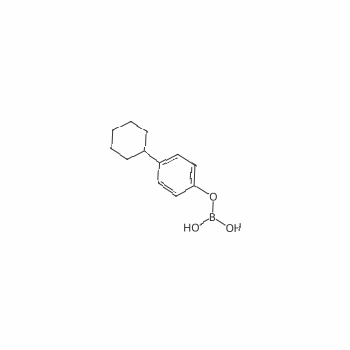 OB(O)Oc1ccc(C2CCCCC2)cc1